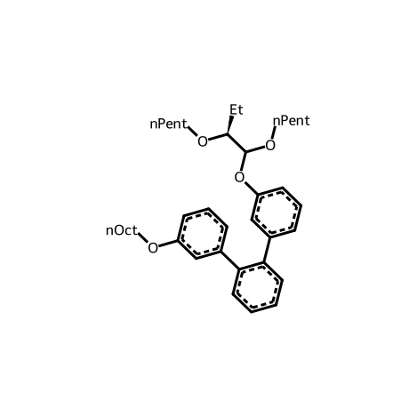 CCCCCCCCOc1cccc(-c2ccccc2-c2cccc(OC(OCCCCC)[C@H](CC)OCCCCC)c2)c1